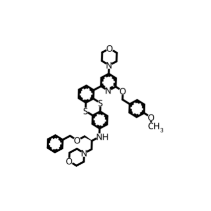 COc1ccc(COc2cc(N3CCOCC3)cc(-c3cccc4c3Sc3ccc(N[C@H](COCc5ccccc5)CN5CCOCC5)cc3S4)n2)cc1